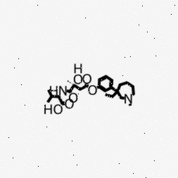 CCC1(c2cccc(OC(=O)C[C@](C)(O)C(=O)NC(C(=O)O)C(C)C)c2)CCCCN(C)C1